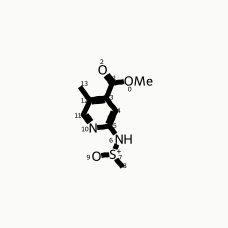 COC(=O)c1cc(N[S+](C)[O-])ncc1C